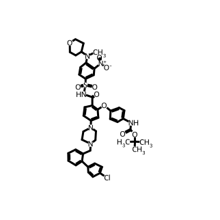 CN(c1ccc(S(=O)(=O)NC(=O)c2ccc(N3CCN(Cc4ccccc4-c4ccc(Cl)cc4)CC3)cc2Oc2ccc(NC(=O)OC(C)(C)C)cc2)cc1[N+](=O)[O-])C1CCOCC1